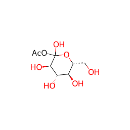 CC(=O)OC1(O)O[C@H](CO)[C@@H](O)[C@H](O)[C@H]1O